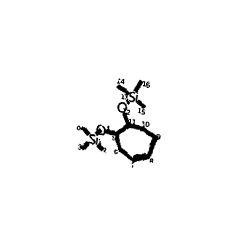 C[Si](C)(C)OC1CC=CCCC1O[Si](C)(C)C